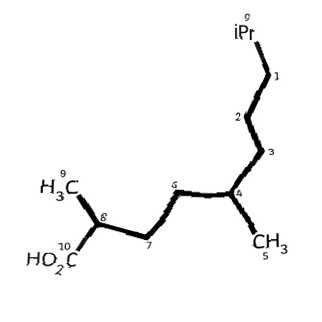 CC(C)CCCC(C)CCC(C)C(=O)O